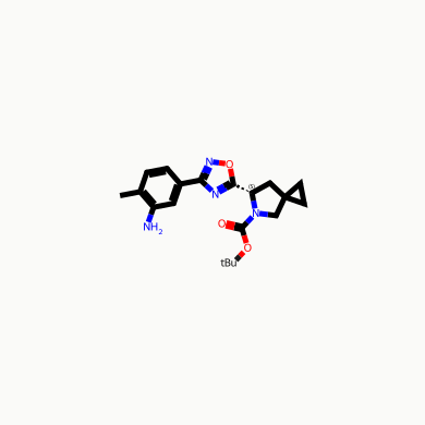 Cc1ccc(-c2noc([C@@H]3CC4(CC4)CN3C(=O)OC(C)(C)C)n2)cc1N